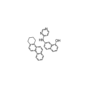 Oc1cccc2ccc(Nc3ccncn3)cc12.c1ccc2c(c1)ccc1c3c(ccc12)CCCC3